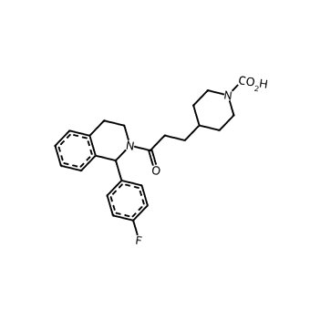 O=C(O)N1CCC(CCC(=O)N2CCc3ccccc3C2c2ccc(F)cc2)CC1